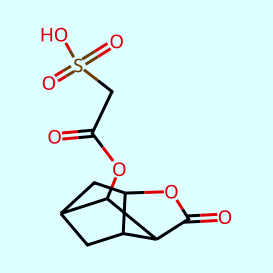 O=C(CS(=O)(=O)O)OC1C2CC3OC(=O)C1C3C2